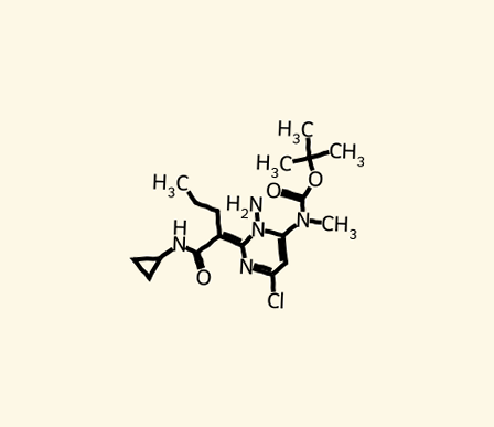 CCC/C(C(=O)NC1CC1)=C1/N=C(Cl)C=C(N(C)C(=O)OC(C)(C)C)N1N